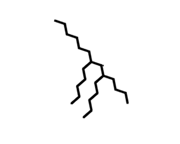 CCCCCCC([CH]C(CCCC)CCCCC)CCCCC